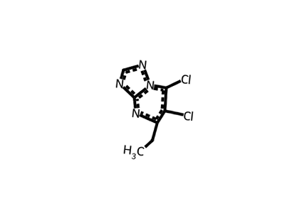 CCc1nc2ncnn2c(Cl)c1Cl